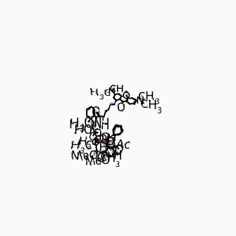 CO[C@H]1C(=O)[C@]2(C)[C@@H](OC)C[C@H]3OC[C@@]3(OC(C)=O)[C@H]2[C@H](OC(=O)c2ccccc2)[C@]2(O)C[C@H](OC(=O)[C@H](O)[C@@H](NC(=O)CCC/C=C/c3cc(N(C)C)cc4oc5cc(N(C)C)ccc5c(=O)c34)C3(C)C=CC=CC3)C(C)=C1C2(C)C